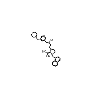 CC(=O)N(CCN1CCN(Cc2cccc3ccccc23)C1=C(C#N)C#N)Cc1cccc(CN2CCCCC2)c1